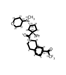 CC(C)[C@]1(C(=O)N2CCc3ccc(C(=O)C(F)(F)F)cc3C2)CC[C@@H](N(C)C2CCOCC2)C1